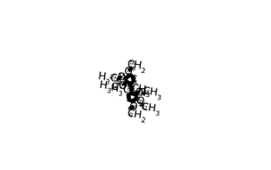 C=COc1ccc(C(C)(C)c2ccc(OC=C)c(OCC)c2OCC)c(OCC)c1OCC